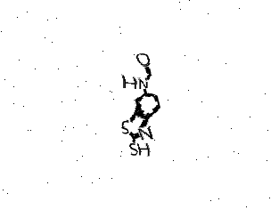 O=CNc1ccc2nc(S)sc2c1